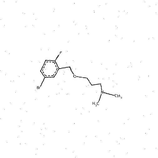 CN(C)CCCOCc1cc(Br)ccc1F